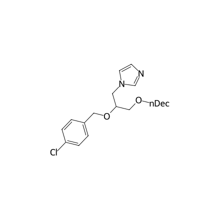 CCCCCCCCCCOCC(Cn1ccnc1)OCc1ccc(Cl)cc1